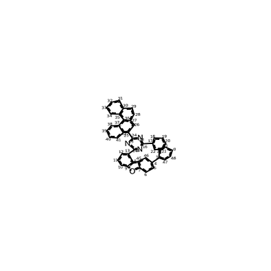 c1ccc(-c2ccc3oc4cccc(-c5nc(-c6ccccc6)nc(-c6cc7ccc8ccccc8c7c7ccccc67)n5)c4c3c2)cc1